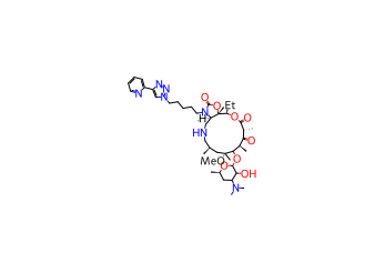 CC[C@H]1OC(=O)[C@H](C)C(=O)[C@@H](C)[C@@H](O[C@@H]2O[C@H](C)CC(N(C)C)C2O)[C@](C)(OC)C[C@@H](C)CN[C@H](C)[C@H]2N(CCCCCn3cc(-c4ccccn4)nn3)C(=O)O[C@]12C